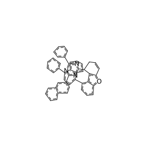 C1=Cc2oc3cccc(-c4ccc(-c5ccccc5)c5ccccc45)c3c2C(c2nc(-c3ccccc3)nc(-c3ccc4ccccc4c3)n2)C1